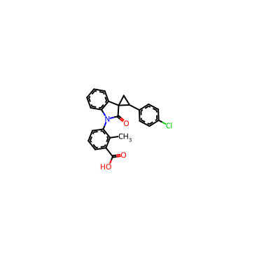 Cc1c(C(=O)O)cccc1N1C(=O)C2(CC2c2ccc(Cl)cc2)c2ccccc21